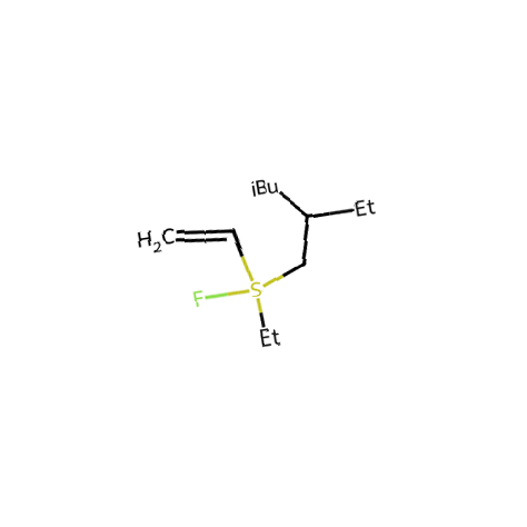 C=CS(F)(CC)CC(CC)C(C)CC